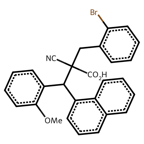 COc1ccccc1C(c1cccc2ccccc12)C(C#N)(Cc1ccccc1Br)C(=O)O